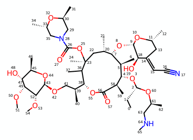 CC[C@H](O[C@H]1[C@H](C)[C@@H](O[C@@H]2O[C@H](C)C/C(=C\C#N)[C@H]2O)[C@@H](C)C[C@](C)(OC(=O)N2C[C@H](C)O[C@@H](C)C2)C(C)[C@@H]([C@@H](C)CO[C@@H]2O[C@H](C)[C@@H](O)[C@@H](OC)[C@H]2OC)OC(=O)[C@@H]1C)O[C@@H](C)CNC